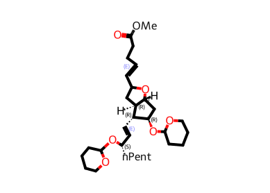 CCCCC[C@@H](/C=C/[C@@H]1[C@H]2CC(/C=C/CCC(=O)OC)O[C@@H]2C[C@H]1OC1CCCCO1)OC1CCCCO1